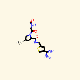 C[C@@H]1CC(C(=O)NCc2cc(C(=N)N)cs2)N(C(=O)CNC=O)C1